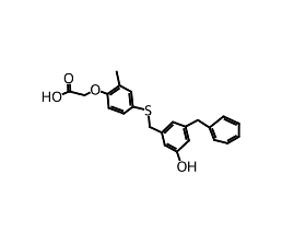 Cc1cc(SCc2cc(O)cc(Cc3ccccc3)c2)ccc1OCC(=O)O